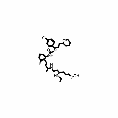 CCNC(CCCSO)CCNC(C)CCc1c(F)cccc1NC(=O)C[C@H](CCC1CCCCO1)c1ccc(Cl)cc1